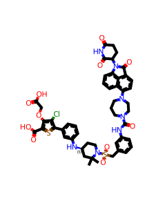 CC1(C)C[C@@H](Nc2cccc(-c3sc(C(=O)O)c(OCC(=O)O)c3Cl)c2)CCN1S(=O)(=O)Cc1cccc(NC(=O)N2CCCN(c3ccc4c5c(cccc35)N(C3CCC(=O)NC3=O)C4=O)CC2)c1